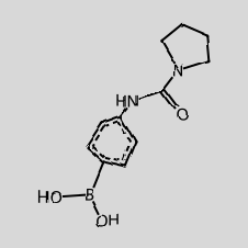 O=C(Nc1ccc(B(O)O)cc1)N1CCCC1